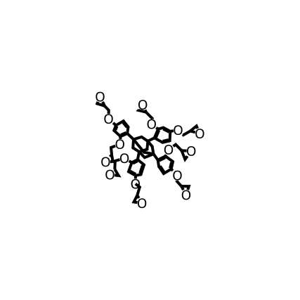 c1cc(C23CC4(c5ccc(OCC6CO6)cc5OCC5CO5)CC(c5ccc(OCC6CO6)cc5OCC5CO5)(C2)CC(c2ccc(OCC5CO5)cc2OCC2CO2)(C3)C4)c(OCC2CO2)cc1OCC1CO1